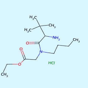 CCCCN(CC(=O)OCC)C(=O)C(N)C(C)(C)C.Cl